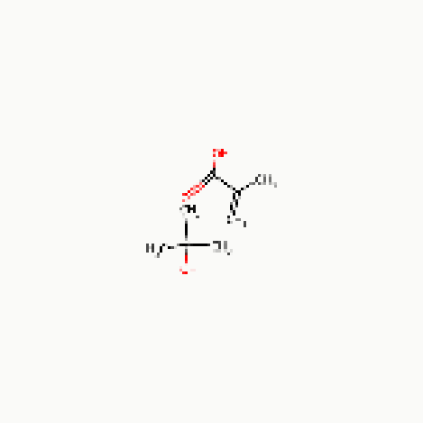 C=C(C)C(=O)O.CC(C)(C)O